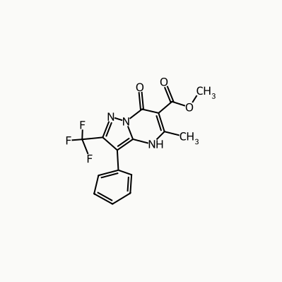 COC(=O)c1c(C)[nH]c2c(-c3ccccc3)c(C(F)(F)F)nn2c1=O